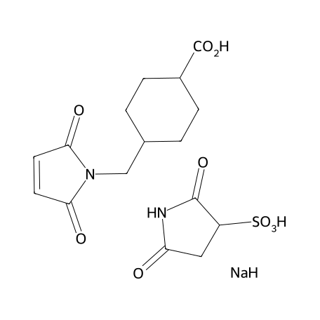 O=C(O)C1CCC(CN2C(=O)C=CC2=O)CC1.O=C1CC(S(=O)(=O)O)C(=O)N1.[NaH]